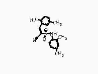 Cc1ccc(NS(=O)(=O)/C(C#N)=C\c2cc(C)ccc2C)c(C)c1